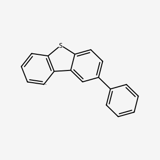 [c]1cccc2sc3ccc(-c4ccccc4)cc3c12